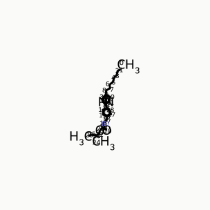 CCCCCCCCCc1cnc(-c2ccc(/C=C/C(=O)OCC(C)CC)cc2)nc1